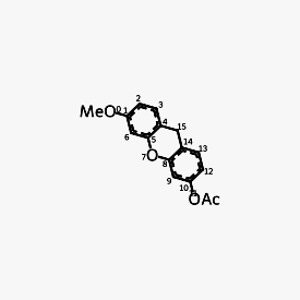 COc1ccc2c(c1)Oc1cc(OC(C)=O)ccc1C2